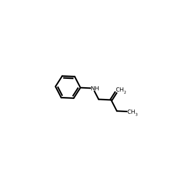 C=C(CC)CNc1ccccc1